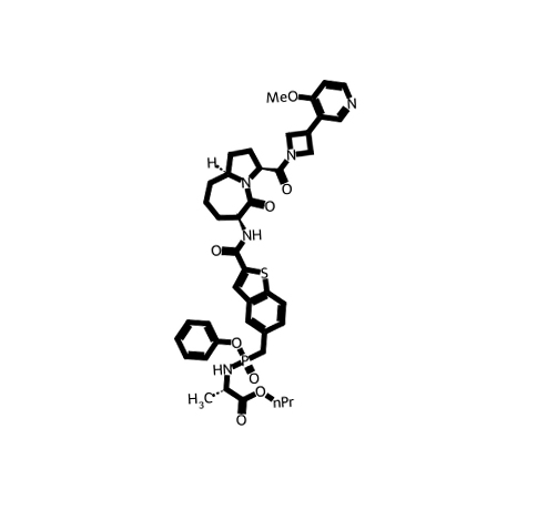 CCCOC(=O)[C@H](C)NP(=O)(Cc1ccc2sc(C(=O)N[C@H]3CCC[C@H]4CC[C@@H](C(=O)N5CC(c6cnccc6OC)C5)N4C3=O)cc2c1)Oc1ccccc1